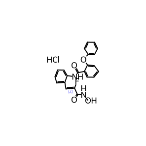 Cl.O=C(NO)/C(F)=C/c1ccccc1NC(=O)c1ccccc1Oc1ccccc1